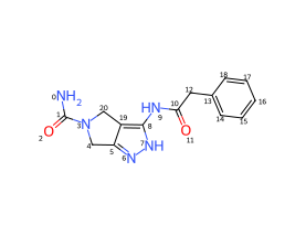 NC(=O)N1Cc2n[nH]c(NC(=O)Cc3ccccc3)c2C1